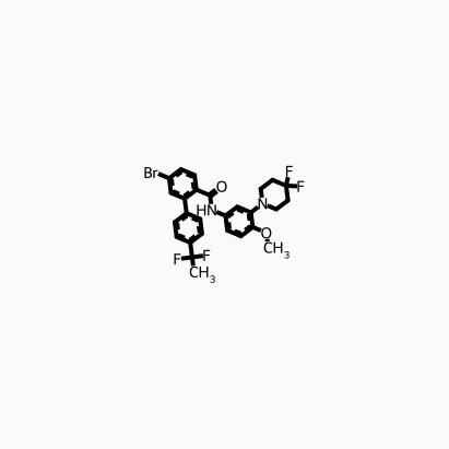 COc1ccc(NC(=O)c2ccc(Br)cc2-c2ccc(C(C)(F)F)cc2)cc1N1CCC(F)(F)CC1